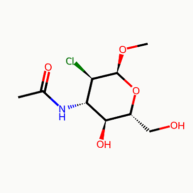 CO[C@H]1O[C@H](CO)[C@@H](O)[C@H](NC(C)=O)[C@H]1Cl